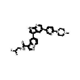 CN1CCN(c2ccc(-c3cnc4[nH]cc(-c5ccn6ncc(C(=O)NCC(F)F)c6c5)c4c3)cn2)CC1